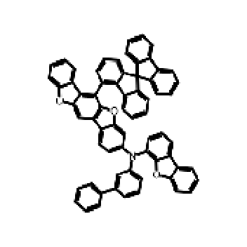 c1ccc(-c2cccc(N(c3ccc4c(c3)oc3c(-c5cccc6c5-c5ccccc5C65c6ccccc6-c6ccccc65)c5c(cc34)oc3ccccc35)c3cccc4c3oc3ccccc34)c2)cc1